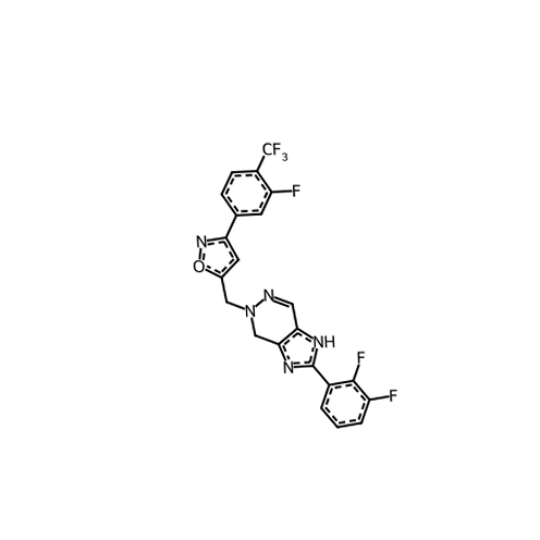 Fc1cc(-c2cc(CN3Cc4nc(-c5cccc(F)c5F)[nH]c4C=N3)on2)ccc1C(F)(F)F